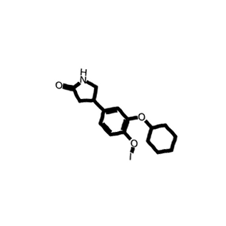 O=C1CC(c2ccc(OI)c(OC3CCCCC3)c2)CN1